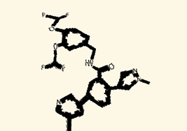 Cc1cncc(-c2ccc(-c3cnn(C)c3)c(C(=O)NCc3ccc(OC(F)F)c(OC(F)F)c3)c2)c1